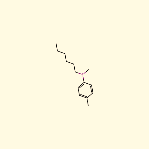 CCCCCCP(C)c1ccc(C)cc1